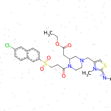 CCOC(=O)CC1CN(Cc2cs/c(=N\C)n2C)CCN1C(=O)CCS(=O)(=O)c1ccc2cc(Cl)ccc2c1